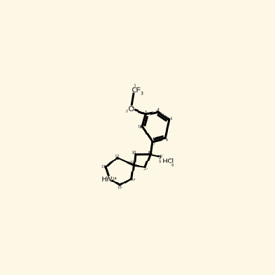 Cl.FC(F)(F)Oc1cccc(C2(F)CC3(CCNCC3)C2)c1